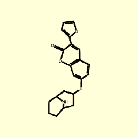 O=c1oc2cc(OC3CC4CCCC(C3)N4)ccc2cc1-c1ccco1